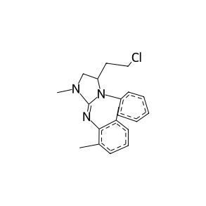 Cc1cccc(C)c1/N=C1/N(C)CC(CCCl)N1c1ccccc1